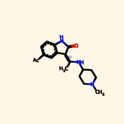 CC(=O)c1ccc2c(c1)/C(=C(\C)NC1CCN(C)CC1)C(=O)N2